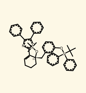 CC(C)(C)[Si](Oc1cccc(C[C@@]2(O[Si](C)(C)C)CCCC=C2c2nc(-c3ccccc3)c(-c3ccccc3)o2)c1)(c1ccccc1)c1ccccc1